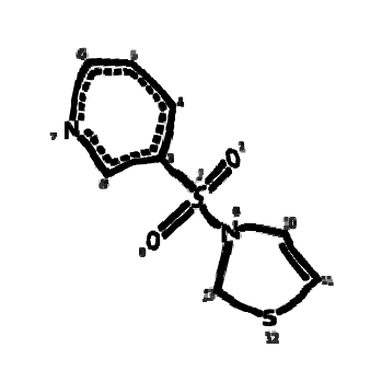 O=S(=O)(c1cccnc1)N1C=CSC1